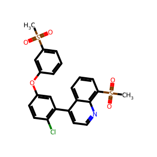 CS(=O)(=O)c1cccc(Oc2ccc(Cl)c(-c3ccnc4c(S(C)(=O)=O)cccc34)c2)c1